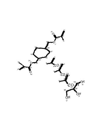 C=C(C)C(=O)O.C=C(C)C(=O)O.C=C(C)C(=O)O.C=C(C)C(=O)OCC1CCC(COC(=O)C(=C)C)CC1.OCC(O)CO